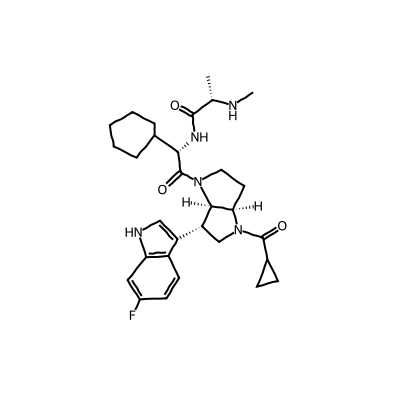 CN[C@@H](C)C(=O)N[C@H](C(=O)N1CC[C@@H]2[C@H]1[C@@H](c1c[nH]c3cc(F)ccc13)CN2C(=O)C1CC1)C1CCCCC1